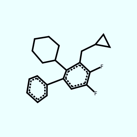 Fc1cc(-c2ccccc2)c(C2CCCCC2)c(CC2CC2)c1F